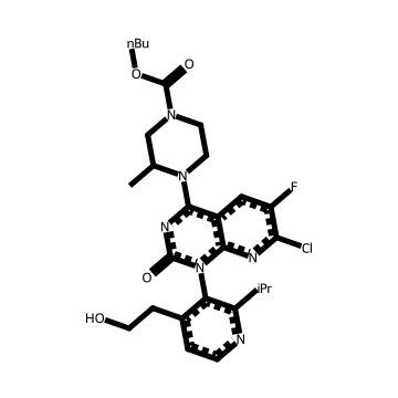 CCCCOC(=O)N1CCN(c2nc(=O)n(-c3c(CCO)ccnc3C(C)C)c3nc(Cl)c(F)cc23)C(C)C1